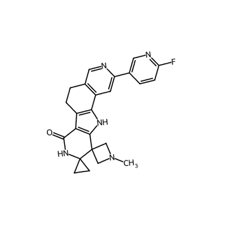 CN1CC2(C1)c1[nH]c3c(c1C(=O)NC21CC1)CCc1cnc(-c2ccc(F)nc2)cc1-3